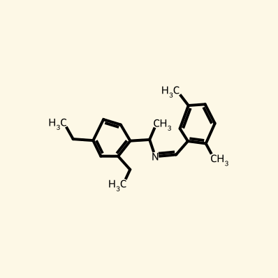 CCc1ccc(C(C)/N=C\c2cc(C)ccc2C)c(CC)c1